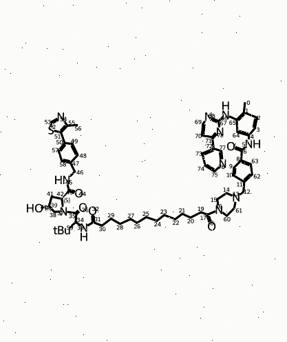 Cc1ccc(NC(=O)c2ccc(CN3CCN(C(=O)CCCCCCCCCCCCC(=O)NC(C(=O)N4C[C@H](O)C[C@H]4C(=O)NCc4ccc(-c5scnc5C)cc4)C(C)(C)C)CC3)cc2)cc1Nc1nccc(-c2cccnc2)n1